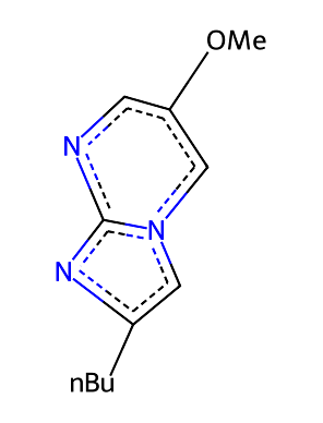 CCCCc1cn2cc(OC)cnc2n1